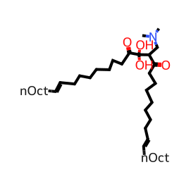 CCCCCCCCC=CCCCCCCCC(=O)C(CN(C)C)C(O)(O)C(=O)CCCCCCCC=CCCCCCCCC